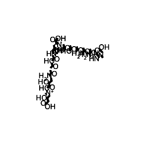 CC(=O)O.CC(=O)O.CC(=O)O.CC(C)=O.CC(C)=O.CC(N)=O.CC(N)=O.CC(N)=O.CCC(O)C(=O)O.CN(CC(=O)O)C(=N)N.CN[C@@H](Cc1c[nH]cn1)C(=O)O.C[N+](C)(C)CC(O)CC(=O)O